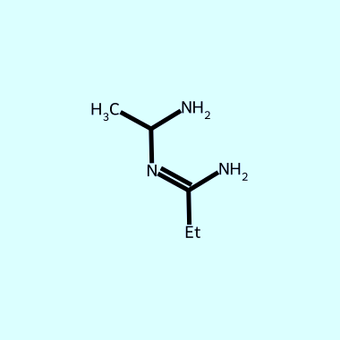 CCC(N)=NC(C)N